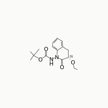 CCO[C@H]1Cc2ccccc2N(NC(=O)OC(C)(C)C)C1=O